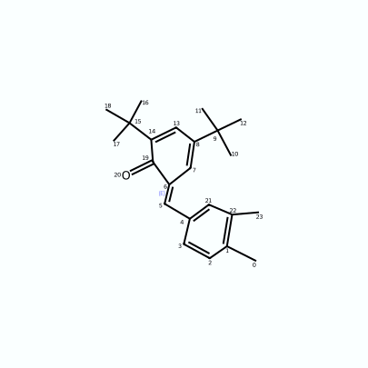 Cc1ccc(/C=C2\C=C(C(C)(C)C)C=C(C(C)(C)C)C2=O)cc1C